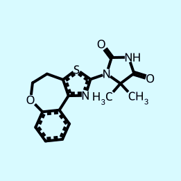 CC1(C)C(=O)NC(=O)N1c1nc2c(s1)CCOc1ccccc1-2